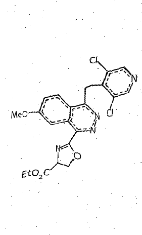 CCOC(=O)C1COC(c2nnc(Cc3c(Cl)cncc3Cl)c3ccc(OC)cc23)=N1